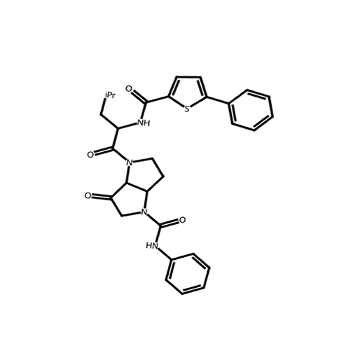 CC(C)CC(NC(=O)c1ccc(-c2ccccc2)s1)C(=O)N1CCC2C1C(=O)CN2C(=O)Nc1ccccc1